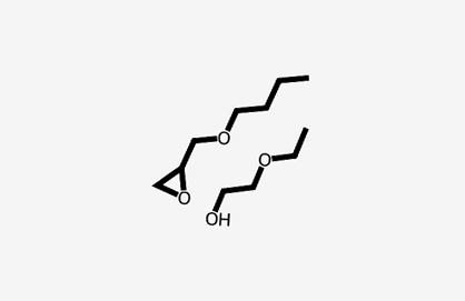 CCCCOCC1CO1.CCOCCO